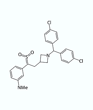 CNc1cccc(C(CC2CN(C(c3ccc(Cl)cc3)c3ccc(Cl)cc3)C2)=S(=O)=O)c1